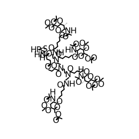 CCC(OC(=O)CCC(=O)N[SH](=P)=S)C(=O)N(CCN(CCNC(=O)CCCCO[C@@H]1OC(COC(C)=O)[C@H](OC(C)=O)[C@H](C)C1NC(C)=O)C(=O)CCCCO[C@@H]1OC(COC(C)=O)[C@H](OC(C)=O)[C@H](C)C1NC(C)=O)CCN(CCNC(=O)CCCCO[C@@H]1OC(COC(C)=O)[C@H](OC(C)=O)[C@H](C)C1NC(C)=O)C(=O)CCCCO[C@@H]1OC(COC(C)=O)[C@H](OC(C)=O)[C@H](C)C1NC(C)=O